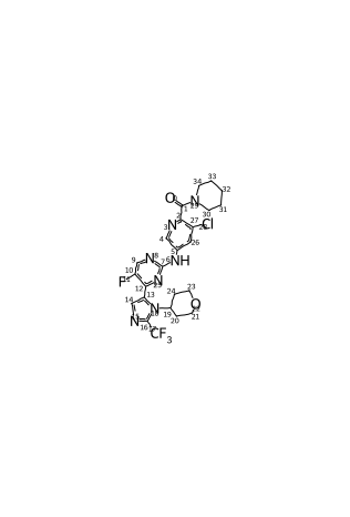 O=C(c1ncc(Nc2ncc(F)c(-c3cnc(C(F)(F)F)n3C3CCOCC3)n2)cc1Cl)N1CCCCC1